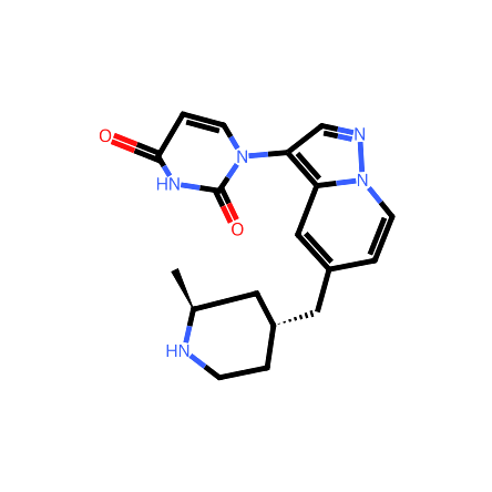 C[C@H]1C[C@H](Cc2ccn3ncc(-n4ccc(=O)[nH]c4=O)c3c2)CCN1